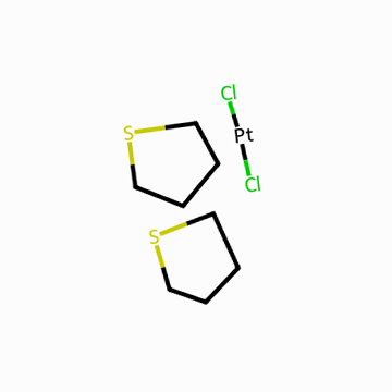 C1CCSC1.C1CCSC1.[Cl][Pt][Cl]